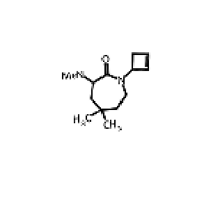 CNC1CC(C)(C)CCN(C2C=CC2)C1=O